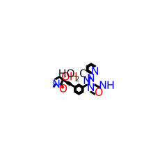 CN1CC[C@@](O)(C#Cc2cccc(C(N=Nc3ncccc3C(=O)O)N3CCOC(=N)C3)c2)C1=O